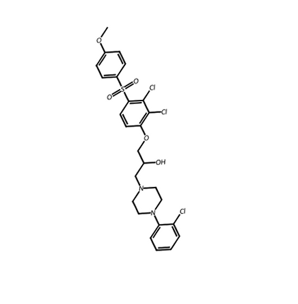 COc1ccc(S(=O)(=O)c2ccc(OCC(O)CN3CCN(c4ccccc4Cl)CC3)c(Cl)c2Cl)cc1